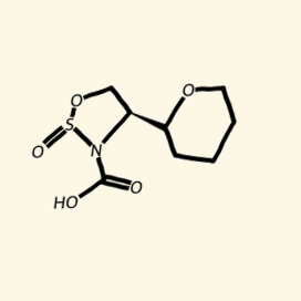 O=C(O)N1[C@H](C2CCCCO2)COS1=O